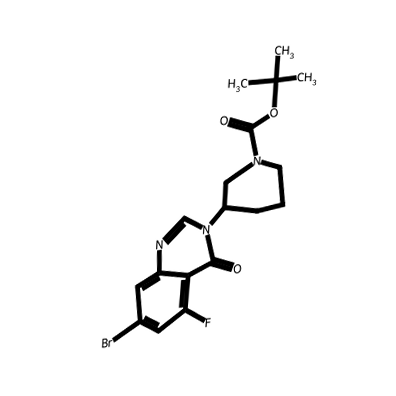 CC(C)(C)OC(=O)N1CCCC(n2cnc3cc(Br)cc(F)c3c2=O)C1